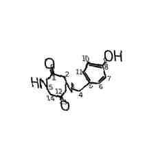 O=C1CN(Cc2ccc(O)cc2)C(=O)CN1